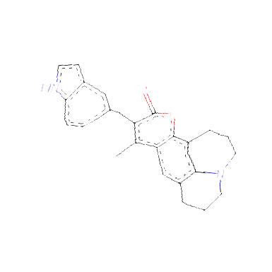 Cc1c(-c2ccc3[nH]ccc3c2)c(=O)oc2c3c4c(cc12)CCCN4CCC3